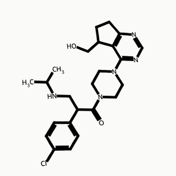 CC(C)NCC(C(=O)N1CCN(c2ncnc3c2C(CO)CC3)CC1)c1ccc(Cl)cc1